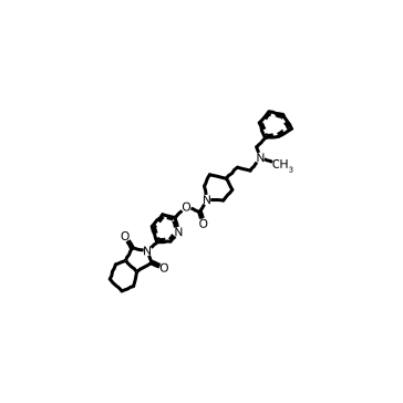 CN(CCC1CCN(C(=O)Oc2ccc(N3C(=O)C4CCCCC4C3=O)cn2)CC1)Cc1ccccc1